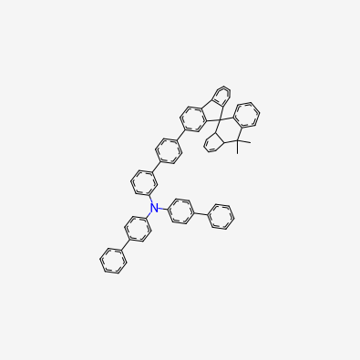 CC1(C)c2ccccc2C2(c3ccccc3-c3ccc(-c4ccc(-c5cccc(N(c6ccc(-c7ccccc7)cc6)c6ccc(-c7ccccc7)cc6)c5)cc4)cc32)C2C=CC=CC21